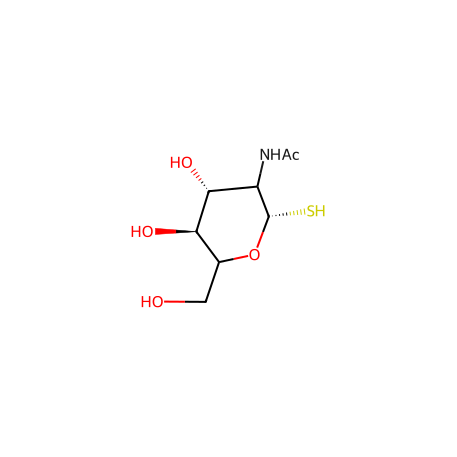 CC(=O)NC1[C@H](S)OC(CO)[C@@H](O)[C@@H]1O